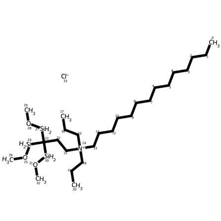 CCCCCCCCCCCCCC[N+](CCC)(CCC)CCC([SiH2]OC)([SiH2]OC)[SiH2]OC.[Cl-]